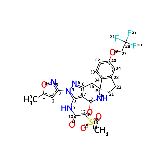 Cc1cc(-n2nc3c(c2NC(=O)CS(C)(=O)=O)C(=O)N[C@@]2(CCc4cc(OCC(F)(F)F)ccc42)C3)no1